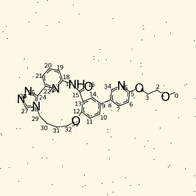 COCCOc1ccc(-c2ccc3c(c2)C(=O)Nc2cccc(n2)-c2nncn2CCCCO3)cn1